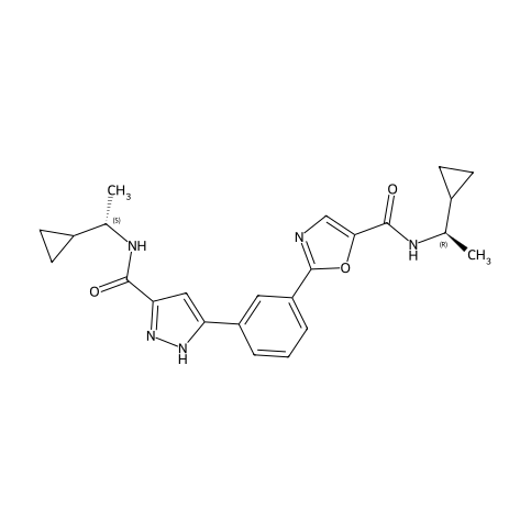 C[C@H](NC(=O)c1cc(-c2cccc(-c3ncc(C(=O)N[C@H](C)C4CC4)o3)c2)[nH]n1)C1CC1